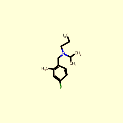 CCCN(Cc1ccc(F)cc1C)C(C)C